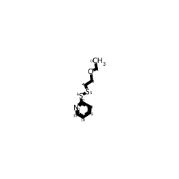 CCOCCSSc1ccccn1